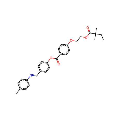 CCC(C)(C)C(=O)OCCOc1ccc(C(=O)Oc2ccc(C=Nc3ccc(C)cc3)cc2)cc1